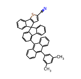 Cc1cc(C)cc(-c2c3ccccc3c(-c3cccc4c3-c3ccccc3C43c4ccccc4-c4sc(C#N)cc43)c3ccccc23)c1